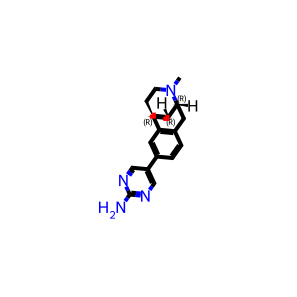 CN1CC[C@]23CCCC[C@H]2[C@H]1Cc1ccc(-c2cnc(N)nc2)cc13